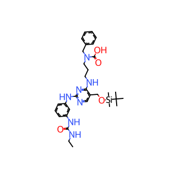 CCNC(=O)Nc1cccc(Nc2ncc(CO[Si](C)(C)C(C)(C)C)c(NCCCN(Cc3ccccc3)C(=O)O)n2)c1